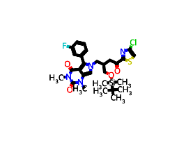 Cn1c(=O)c2c(-c3cccc(F)c3)n(CC(CO[Si](C)(C)C(C)(C)C)CC(=O)c3nc(Cl)cs3)cc2n(C)c1=O